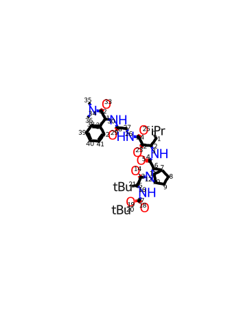 CC(C)CC(NC(=O)C1C2CCC(C2)N1C(=O)C(NC(=O)OC(C)(C)C)C(C)(C)C)C(=O)C(=O)NCC(=O)NC(C(=O)N(C)C)c1ccccc1